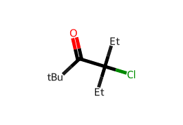 CCC(Cl)(CC)C(=O)C(C)(C)C